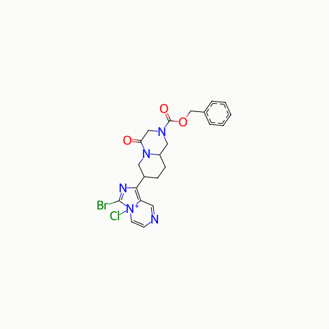 O=C(OCc1ccccc1)N1CC(=O)N2CC(C3=C4C=NC=C[N+]4(Cl)C(Br)=N3)CCC2C1